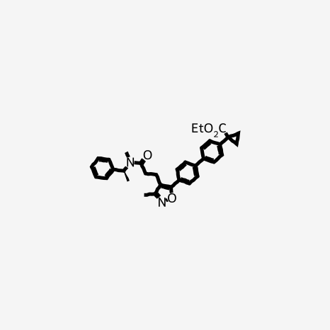 CCOC(=O)C1(c2ccc(-c3ccc(-c4onc(C)c4CCC(=O)N(C)[C@@H](C)c4ccccc4)cc3)cc2)CC1